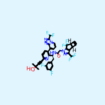 CC(C)(O)C#Cc1ccc(-c2cccn3c(C(F)F)nnc23)c([C@H](Cc2cc(F)cc(F)c2)NC(=O)Cn2nc(C(F)F)c3c2C(F)(F)[C@@H]2C#C[C@H]32)n1